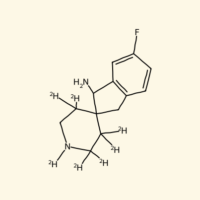 [2H]N1CC([2H])([2H])C2(Cc3ccc(F)cc3C2N)C([2H])([2H])C1([2H])[2H]